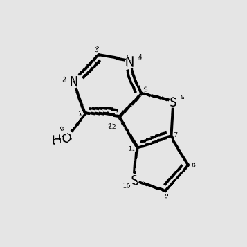 Oc1ncnc2sc3ccsc3c12